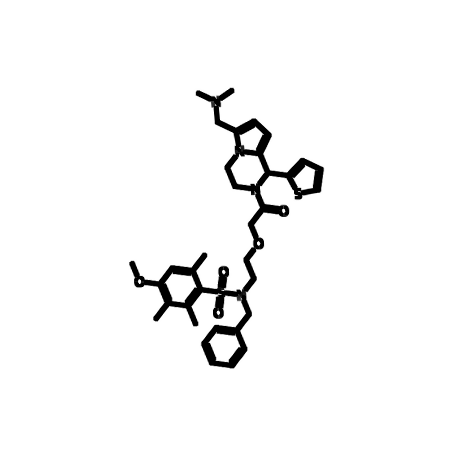 COc1cc(C)c(S(=O)(=O)N(CCOCC(=O)N2CCn3c(CN(C)C)ccc3C2c2cccs2)Cc2ccccc2)c(C)c1C